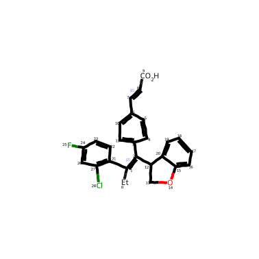 CC/C(=C(/c1ccc(/C=C/C(=O)O)cc1)C1COc2ccccc21)c1ccc(F)cc1Cl